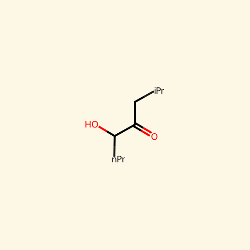 CCCC(O)C(=O)CC(C)C